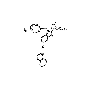 CC1(C)[C@H](c2nc3cc(OCc4ccc5ccccc5n4)ccc3n2Cc2ccc(Br)cc2)[C@@H]1C(=O)O